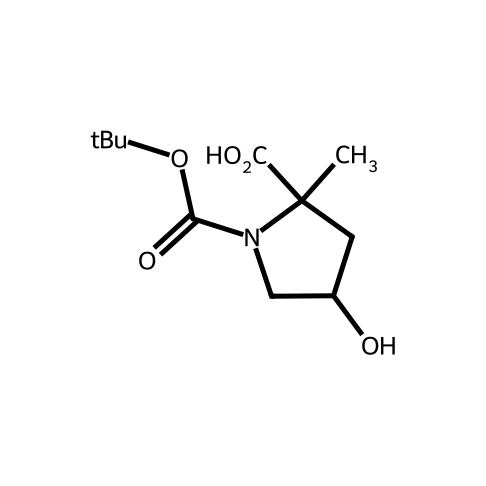 CC(C)(C)OC(=O)N1CC(O)CC1(C)C(=O)O